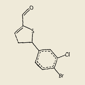 O=CC1=CCC(c2ccc(Br)c(Cl)c2)S1